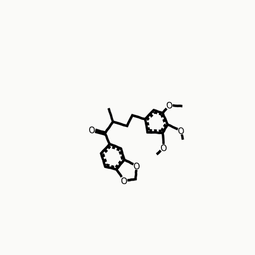 COc1cc(CCC(C)C(=O)c2ccc3c(c2)OCO3)cc(OC)c1OC